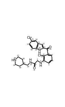 O=C(CNc1cccc(C(=O)c2cc3cc(Cl)ccc3[nH]2)c1Cl)NCC1CCNCC1